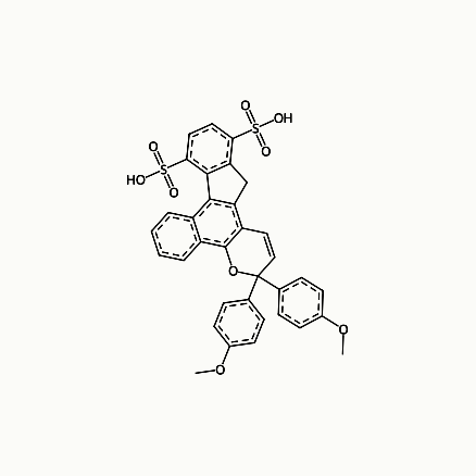 COc1ccc(C2(c3ccc(OC)cc3)C=Cc3c4c(c5ccccc5c3O2)-c2c(S(=O)(=O)O)ccc(S(=O)(=O)O)c2C4)cc1